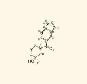 C[C@]1(O)CCCN(C(=O)c2cnc3[nH]ccc3c2)C1